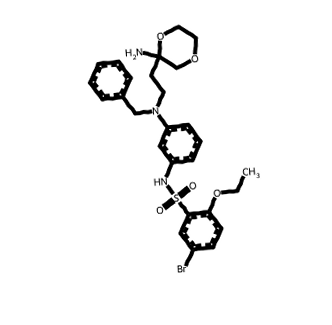 CCOc1ccc(Br)cc1S(=O)(=O)Nc1cccc(N(CCC2(N)COCCO2)Cc2ccccc2)c1